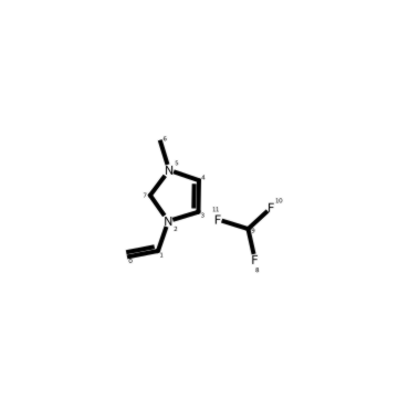 C=CN1C=CN(C)C1.FC(F)F